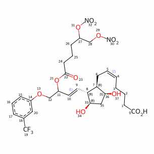 O=C(O)CCC/C=C\C[C@@H]1[C@@H](/C=C/C(COc2cccc(C(F)(F)F)c2)OC(=O)CCCC(CO[N+](=O)[O-])O[N+](=O)[O-])[C@H](O)C[C@@H]1O